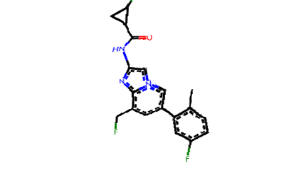 Cc1ccc(F)cc1-c1cc(CF)c2nc(NC(=O)C3CC3F)cn2c1